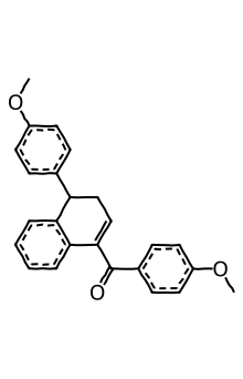 COc1ccc(C(=O)C2=CCC(c3ccc(OC)cc3)c3ccccc32)cc1